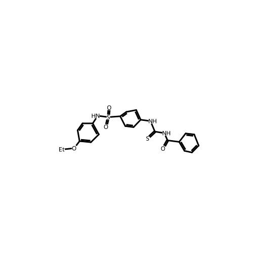 CCOc1ccc(NS(=O)(=O)c2ccc(NC(=S)NC(=O)c3ccccc3)cc2)cc1